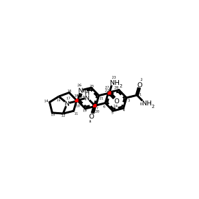 NC(=O)c1ccc(C(=O)NC2CC3CCC(C2)N3c2ccc(C(N)=O)cn2)cc1